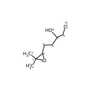 CC1(C)OC1CCC(O)CCl